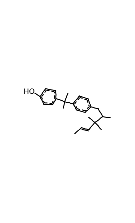 CC=CC(C)(C)C(C)Cc1ccc(C(C)(C)c2ccc(O)cc2)cc1